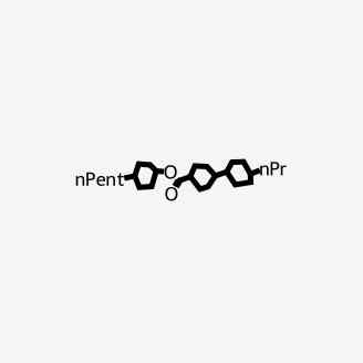 CCCCCC1CCC(OC(=O)C2CCC(C3CCC(CCC)CC3)CC2)CC1